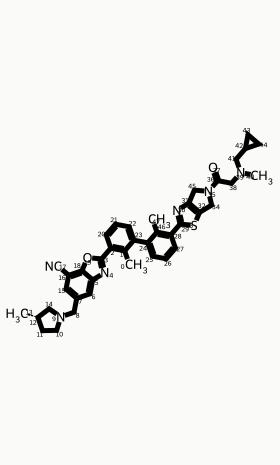 Cc1c(-c2nc3cc(CN4CC[C@H](C)C4)cc(C#N)c3o2)cccc1-c1cccc(-c2nc3c(s2)CN(C(=O)CN(C)CC2CC2)C3)c1C